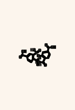 O=C(O)c1ccc(C(=O)O)c(OP(=O)(O)c2cc(C(=O)O)ccc2C(=O)O)c1